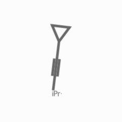 C[C](C)C#CC1CC1